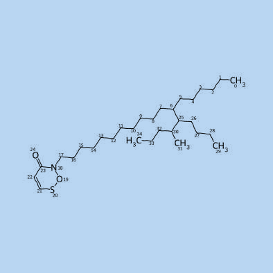 CCCCCCC(CCCCCCCCCCCN1OSC=CC1=O)C(CCCC)C(C)CCC